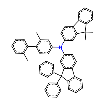 Cc1ccccc1-c1ccc(N(c2ccc3c(c2)C(C)(C)c2ccccc2-3)c2ccc3c(c2)C(c2ccccc2)(c2ccccc2)c2ccccc2-3)cc1C